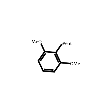 CCCC(C)c1c(OC)cccc1OC